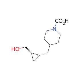 O=C(O)N1CCC(C[C@@H]2C[C@H]2CO)CC1